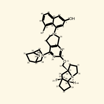 Oc1cc(N2CCc3c(nc(OC[C@@]45CCCN4[C@@H]4CCC[C@]4(F)C5)nc3N3CC4CCC(C3)N4)C2)c2c(I)cccc2c1